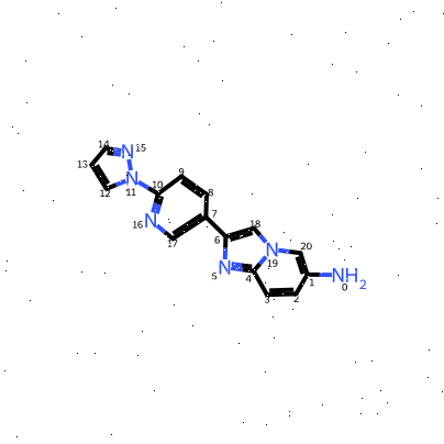 Nc1ccc2nc(-c3ccc(-n4cccn4)nc3)cn2c1